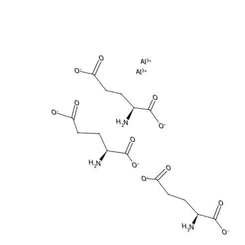 N[C@@H](CCC(=O)[O-])C(=O)[O-].N[C@@H](CCC(=O)[O-])C(=O)[O-].N[C@@H](CCC(=O)[O-])C(=O)[O-].[Al+3].[Al+3]